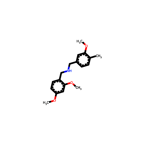 COc1ccc(CNCc2ccc(C)c(OC)c2)c(OC)c1